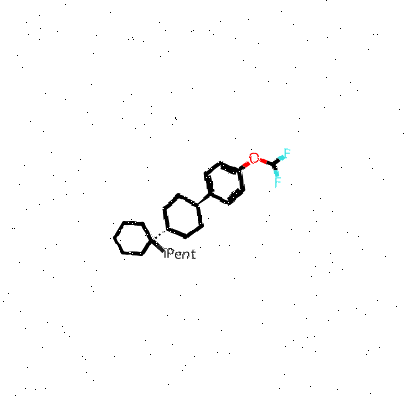 CCCC(C)C1([C@H]2CC[C@H](c3ccc(OC(F)F)cc3)CC2)CCCCC1